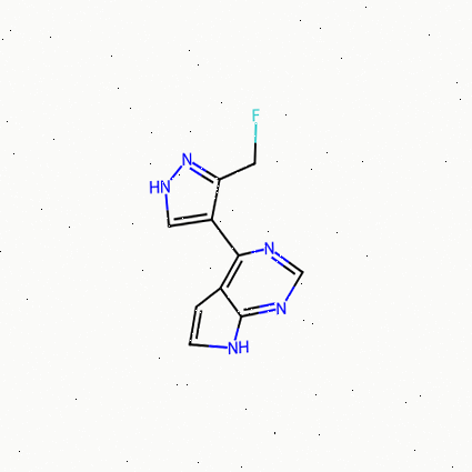 FCc1n[nH]cc1-c1ncnc2[nH]ccc12